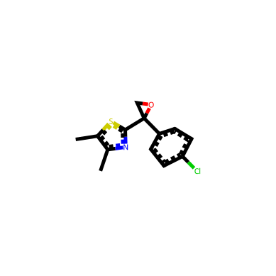 Cc1nc(C2(c3ccc(Cl)cc3)CO2)sc1C